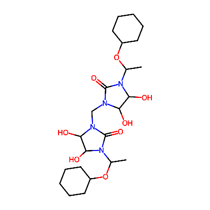 CC(OC1CCCCC1)N1C(=O)N(CN2C(=O)N(C(C)OC3CCCCC3)C(O)C2O)C(O)C1O